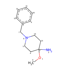 COC1(N)CCN(Cc2ccccc2)CC1